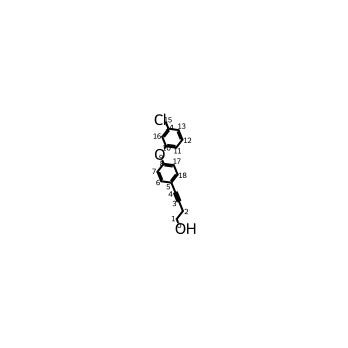 OCCC#Cc1ccc(Oc2cccc(Cl)c2)cc1